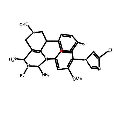 CCN1C(N)C2=C(C(c3ccc(F)cc3)CN(C=O)C2)N(c2ccc(-n3cnc(Cl)c3)c(OC)c2)C1N